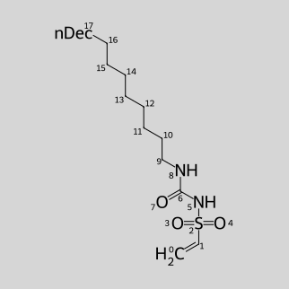 C=CS(=O)(=O)NC(=O)NCCCCCCCCCCCCCCCCCC